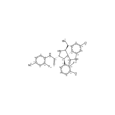 CC(C)(C)C[C@@H]1N[C@@H](C(=O)Nc2ccc(C#N)cc2F)[C@H](c2cccc(Cl)c2F)[C@]12C(=O)Nc1cc(Cl)ccc12